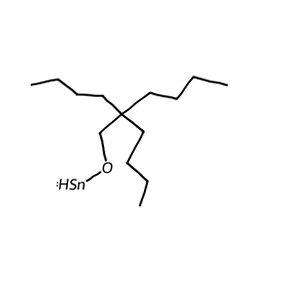 CCCCC(CCCC)(CCCC)C[O][SnH]